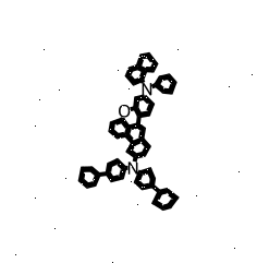 c1ccc(-c2ccc(N(c3ccc(-c4ccccc4)cc3)c3ccc4cc5c6c(cccc6c4c3)Oc3cc(N(c4ccccc4)c4cccc6ccccc46)ccc3-5)cc2)cc1